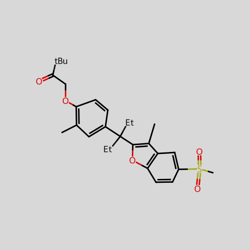 CCC(CC)(c1ccc(OCC(=O)C(C)(C)C)c(C)c1)c1oc2ccc(S(C)(=O)=O)cc2c1C